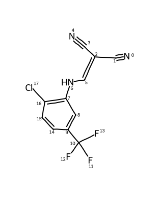 N#CC(C#N)=CNc1cc(C(F)(F)F)ccc1Cl